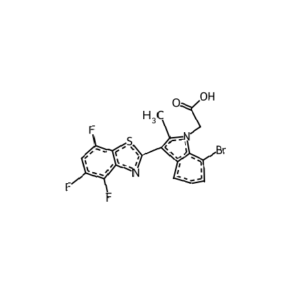 Cc1c(-c2nc3c(F)c(F)cc(F)c3s2)c2cccc(Br)c2n1CC(=O)O